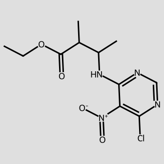 CCOC(=O)C(C)C(C)Nc1ncnc(Cl)c1[N+](=O)[O-]